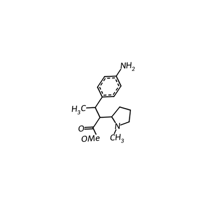 COC(=O)C(C(C)c1ccc(N)cc1)C1CCCN1C